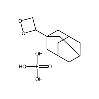 C1C2CC3CC1CC(C1COO1)(C2)C3.O=P(O)(O)O